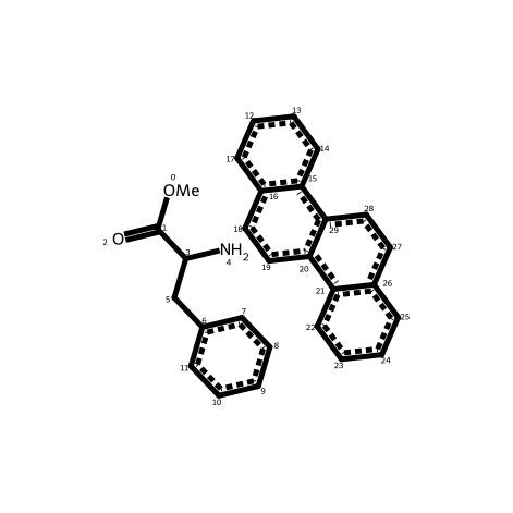 COC(=O)C(N)Cc1ccccc1.c1ccc2c(c1)ccc1c3ccccc3ccc21